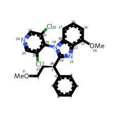 COCC[C@H](c1ccccc1)c1nc2c(OC)cccc2n1-c1c(Cl)cncc1Cl